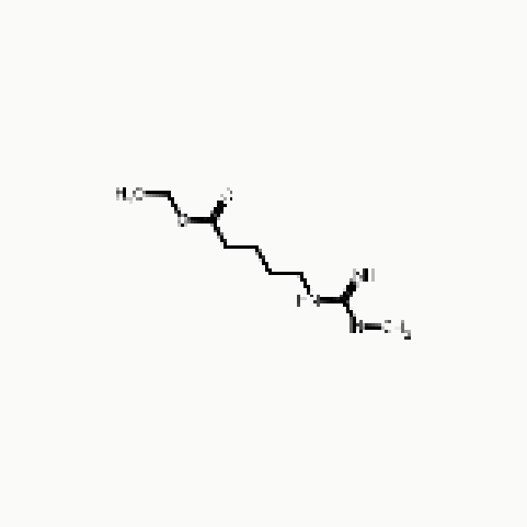 CCOC(=O)CCCCNC(=N)NC